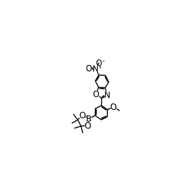 COc1ccc(B2OC(C)(C)C(C)(C)O2)cc1-c1nc2ccc([N+](=O)[O-])cc2o1